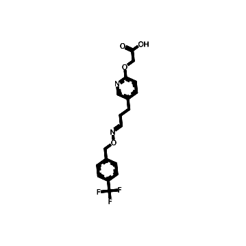 O=C(O)COc1ccc(CCC=NOCc2ccc(C(F)(F)F)cc2)cn1